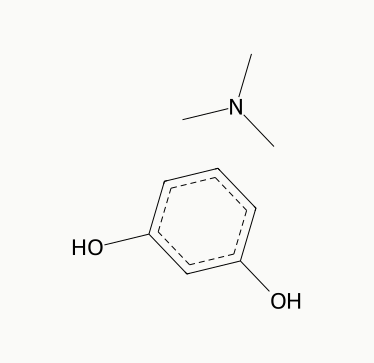 CN(C)C.Oc1cccc(O)c1